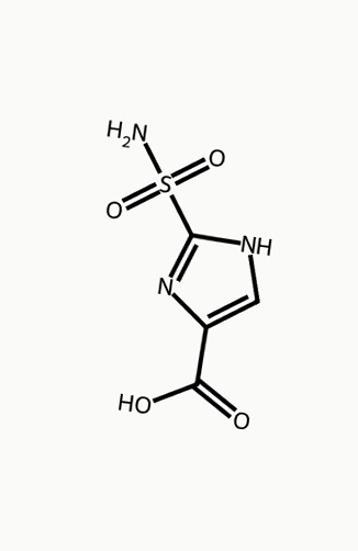 NS(=O)(=O)c1nc(C(=O)O)c[nH]1